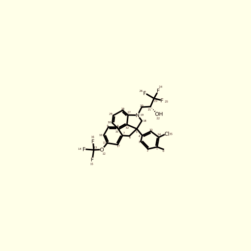 Cc1ccc(C2(Cc3cccc(OC(F)(F)F)c3)CN(C[C@@H](O)C(F)(F)F)c3ccccc32)cc1Cl